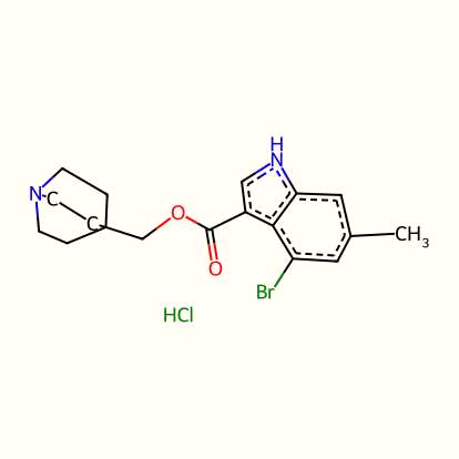 Cc1cc(Br)c2c(C(=O)OCC34CCN(CC3)CC4)c[nH]c2c1.Cl